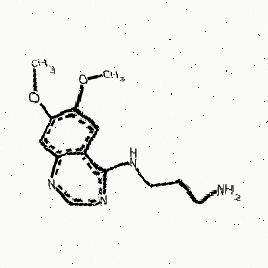 COc1cc2ncnc(NCCCN)c2cc1OC